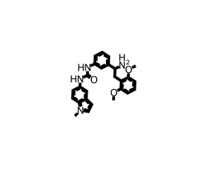 COc1cccc(OC)c1CC(N)c1cccc(NC(=O)Nc2ccc3c(ccn3C)c2)c1